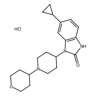 Cl.O=c1[nH]c2ccc(C3CC3)cc2n1C1CCN(C2CCOCC2)CC1